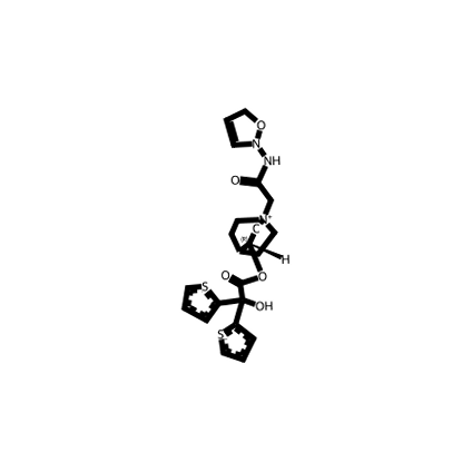 O=C(C[N+]12CCC(CC1)[C@@H](OC(=O)C(O)(c1cccs1)c1cccs1)C2)NN1C=CCO1